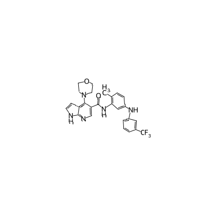 Cc1ccc(Nc2cccc(C(F)(F)F)c2)cc1NC(=O)c1cnc2[nH]ccc2c1N1CCOCC1